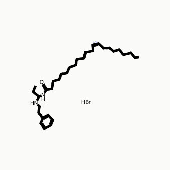 Br.CCCCCCCC/C=C\CCCCCCCCCCCC(=O)NC(CC)NCCc1ccccc1